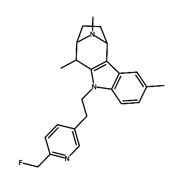 Cc1ccc2c(c1)c1c(n2CCc2ccc(CF)nc2)C(C)C2CCC1N2C